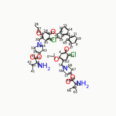 CCOc1cc(OCc2cccc(-c3cccc4c3CC[C@@H]4Oc3cc(OCC)c(CN4CCC(OC(=O)[C@@H](N)C(C)C)CC4)cc3Cl)c2C)c(Cl)cc1CN1CCC(OC(=O)[C@@H](N)C(C)C)CC1